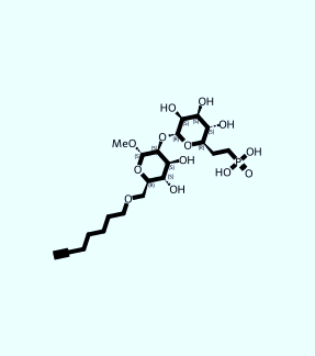 C#CCCCCCOC[C@H]1O[C@H](OC)[C@@H](O[C@H]2O[C@H](CCP(=O)(O)O)[C@@H](O)[C@H](O)[C@@H]2O)[C@@H](O)[C@@H]1O